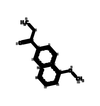 CCC(=O)c1ccc2c(OC)cccc2c1